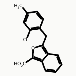 Cc1ccc(Cc2oc(C(=O)O)c3ccccc23)c(Cl)c1